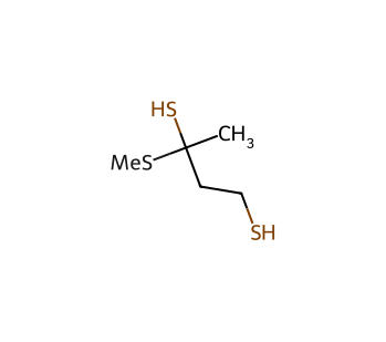 CSC(C)(S)CCS